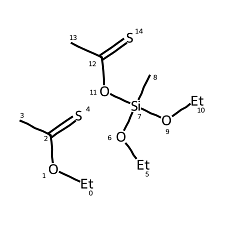 CCOC(C)=S.CCO[Si](C)(OCC)OC(C)=S